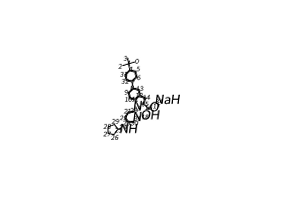 CC(C)(C)c1ccc(-c2ccc3c(c2)cc(C(=O)O)n3-c2ccc(NC3CCCC3)cn2)cc1.[NaH]